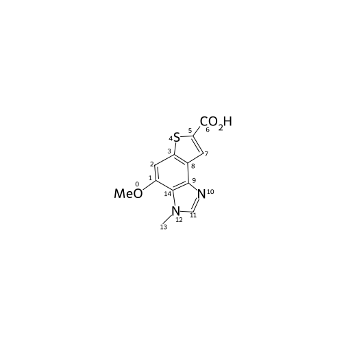 COc1cc2sc(C(=O)O)cc2c2ncn(C)c12